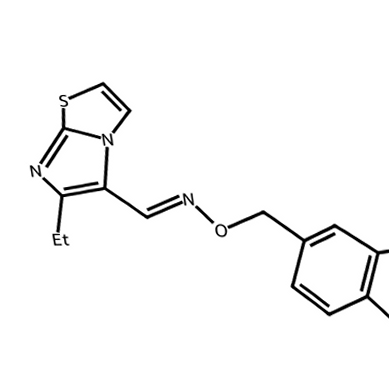 CCc1nc2sccn2c1C=NOCc1ccc(Cl)c(Cl)c1